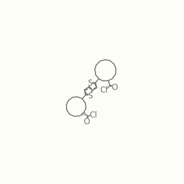 O=C(Cl)C1CCCCCCCCCCC(c2cc3sc(C4CCCCCCCC[C@H](C(=O)Cl)CC4)cc3s2)C1